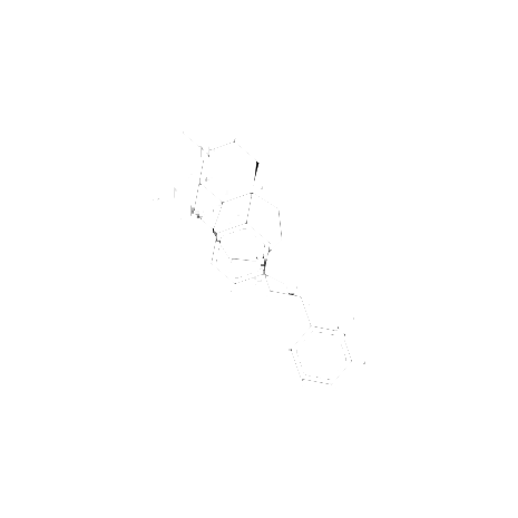 CN1CC[C@]23CCN(CCc4ccccn4)CC[C@@]2(O)[C@H]1Cc1ccc(O)cc13